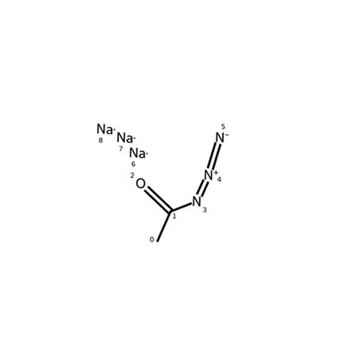 CC(=O)N=[N+]=[N-].[Na].[Na].[Na]